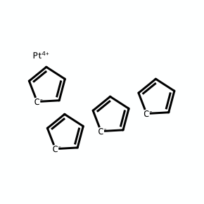 [Pt+4].c1cc[cH-]c1.c1cc[cH-]c1.c1cc[cH-]c1.c1cc[cH-]c1